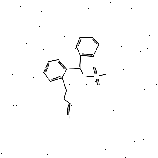 C=CCCc1ccccc1C(OS(C)(=O)=O)c1ccccc1